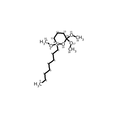 CCCCCCCC[Si]1(OC)CCCC(OC)(OC)O1